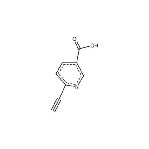 C#Cc1ccc(C(=O)O)cn1